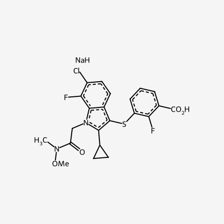 CON(C)C(=O)Cn1c(C2CC2)c(Sc2cccc(C(=O)O)c2F)c2ccc(Cl)c(F)c21.[NaH]